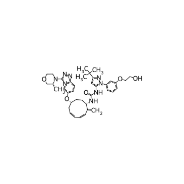 C=C1/C=C\C=C/C[C@H](Oc2ccc3nnc(N4CCOC[C@@H]4C)n3c2)CC[C@@H]1NC(=O)Nc1cc(C(C)(C)C)nn1-c1cccc(OCCO)c1